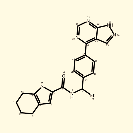 CCC(NC(=O)c1cc2c(s1)CCCC2)c1ccc(-c2ncnc3[nH]ncc23)cc1